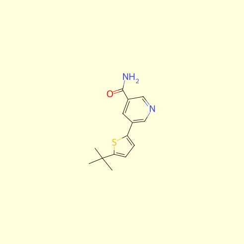 CC(C)(C)c1ccc(-c2cncc(C(N)=O)c2)s1